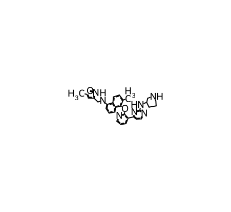 Cc1cc(CNc2cccc3c(Oc4ncccc4-c4ccnc(NC5CCCNC5)n4)c(C)ccc23)no1